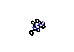 c1ccc(C(c2ccccc2)=c2n3c4nccnc4c4cccc(c5cccc6c7nc(-c8ccccc8)cnc7n2c56)c43)cc1